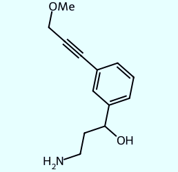 COCC#Cc1cccc(C(O)CCN)c1